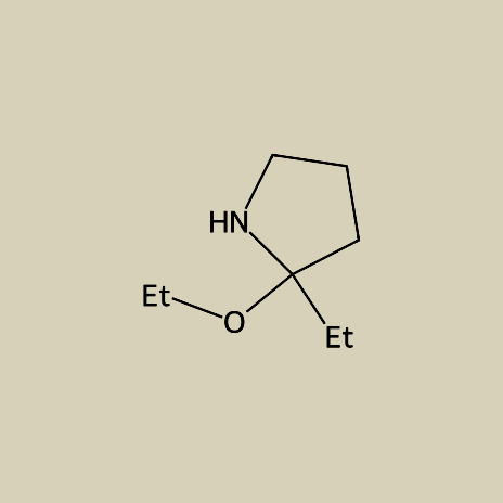 CCOC1(CC)CCCN1